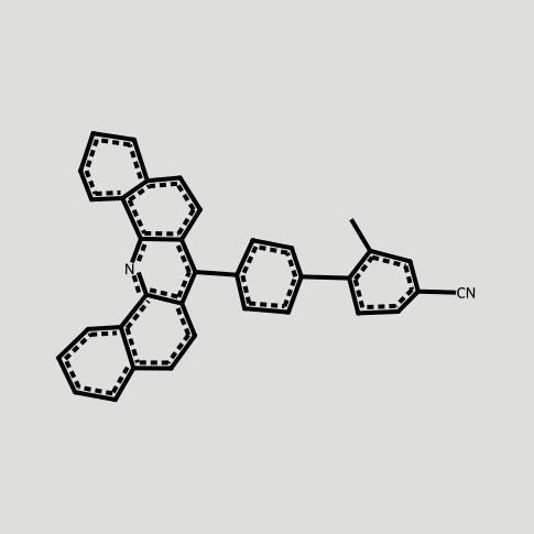 Cc1cc(C#N)ccc1-c1ccc(-c2c3ccc4ccccc4c3nc3c2ccc2ccccc23)cc1